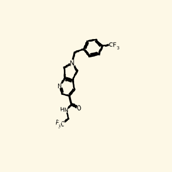 O=C(NCC(F)(F)F)c1cnc2c(c1)CN(Cc1ccc(C(F)(F)F)cc1)C2